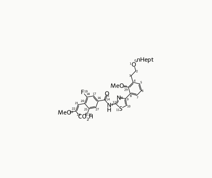 CCCCCCCOCCc1cccc(-c2csc(NC(=O)c3cc(F)c(C=C(OC)C(=O)O)c(F)c3)n2)c1OC